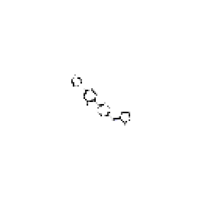 Oc1cc(-n2ccnc2)ccc1-c1ncc(/C=C2\C[C@@H](F)C[C@H]2F)nn1